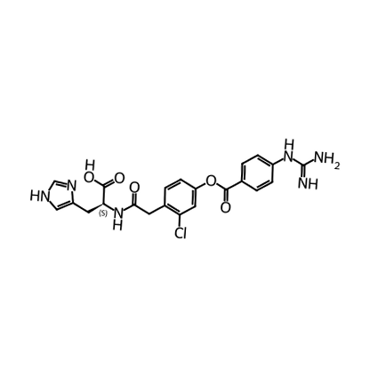 N=C(N)Nc1ccc(C(=O)Oc2ccc(CC(=O)N[C@@H](Cc3c[nH]cn3)C(=O)O)c(Cl)c2)cc1